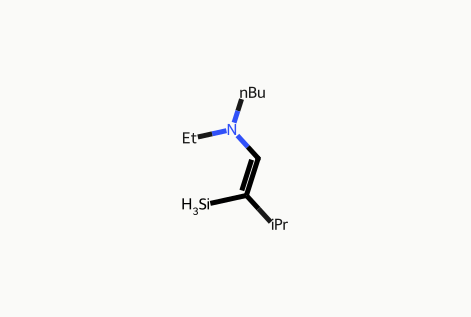 CCCCN(C=C([SiH3])C(C)C)CC